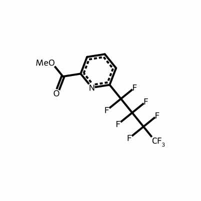 COC(=O)c1cccc(C(F)(F)C(F)(F)C(F)(F)C(F)(F)F)n1